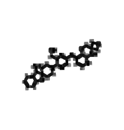 N[C@@H]1c2ccccc2OC12CCN(c1ncc(Sc3ccnc4c3OCC3(COC3)N4)nc1CO)CC2